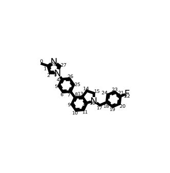 Cc1cn(-c2ccc(-c3cccc4c3CCN4Cc3ccc(F)cc3)cc2)cn1